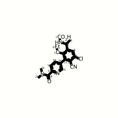 CCOc1c(C(C)NC(=O)O)cc(Cl)c(C#N)c1-c1ccc(C(=O)N(C)C)nc1